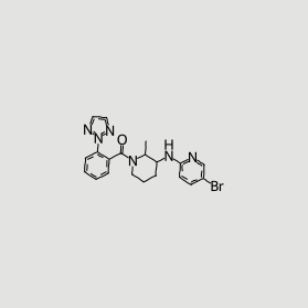 CC1C(Nc2ccc(Br)cn2)CCCN1C(=O)c1ccccc1-n1nccn1